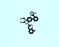 CC(C)CN(CC(C)C)c1ccc(-c2ccccc2-c2nnn[nH]2)cc1NC(=O)Cc1cccc(F)c1F